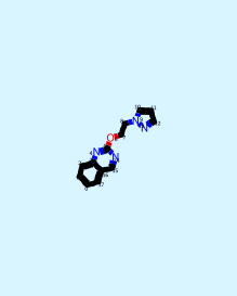 c1ccc2nc(OCCn3cccn3)ncc2c1